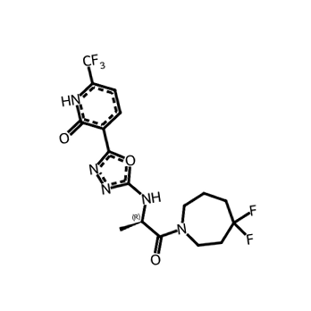 C[C@@H](Nc1nnc(-c2ccc(C(F)(F)F)[nH]c2=O)o1)C(=O)N1CCCC(F)(F)CC1